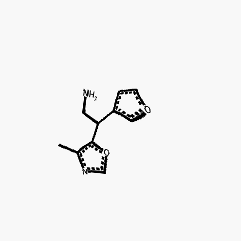 Cc1ncoc1C(CN)c1ccoc1